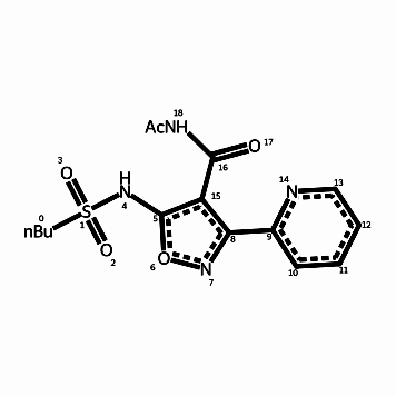 CCCCS(=O)(=O)Nc1onc(-c2ccccn2)c1C(=O)NC(C)=O